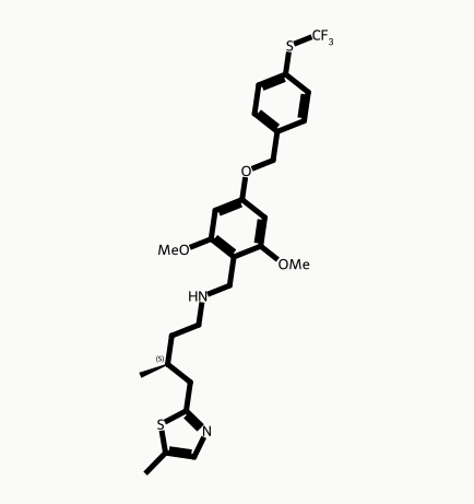 COc1cc(OCc2ccc(SC(F)(F)F)cc2)cc(OC)c1CNCC[C@H](C)Cc1ncc(C)s1